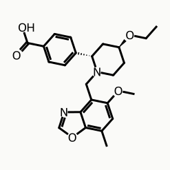 CCO[C@H]1CCN(Cc2c(OC)cc(C)c3ocnc23)[C@H](c2ccc(C(=O)O)cc2)C1